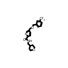 O=C(NCC1CCOCC1)c1ccc(COCc2cccc(C(F)(F)F)c2)cn1